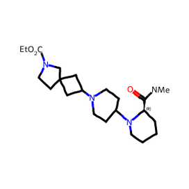 CCOC(=O)N1CCC2(CC(N3CCC(N4CCCC[C@@H]4C(=O)NC)CC3)C2)C1